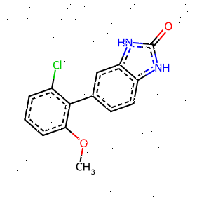 COc1cccc(Cl)c1-c1ccc2[nH]c(=O)[nH]c2c1